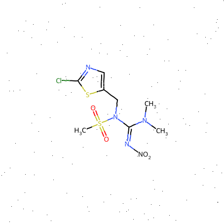 CN(C)C(=N[N+](=O)[O-])N(Cc1cnc(Cl)s1)S(C)(=O)=O